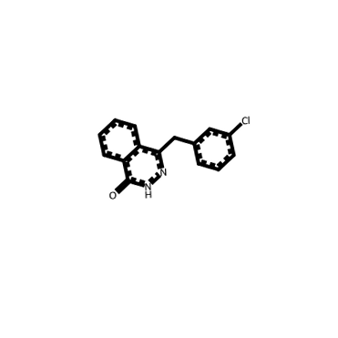 O=c1[nH]nc(Cc2cccc(Cl)c2)c2ccccc12